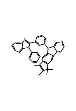 CC1=C(C)C(C)(C)c2cc3c4ccccc4n(-c4cccc(-c5nc6ccccc6n5-c5ccccc5)c4)c3cc21